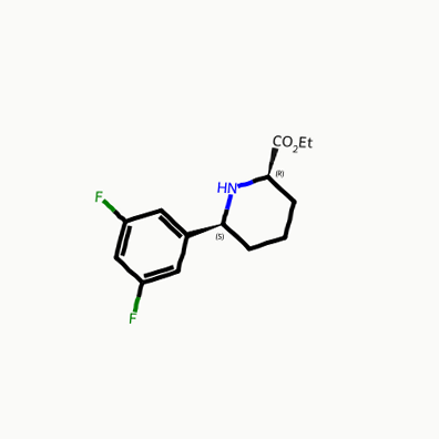 CCOC(=O)[C@H]1CCC[C@@H](c2cc(F)cc(F)c2)N1